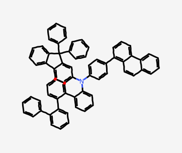 c1ccc(-c2ccccc2-c2ccccc2-c2ccccc2N(c2ccc(-c3cccc4c3ccc3ccccc34)cc2)c2ccc3c(c2)C(c2ccccc2)(c2ccccc2)c2ccccc2-3)cc1